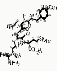 CSCC[C@H](NC(=O)[C@H](CCCNC(=N)N)NC(=O)[C@H](CC(C)C)NC(=O)[C@@H](N)Cc1ccc(O)cc1)C(=O)O